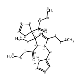 CCCC1=NC(CC)(C2(C(=O)OCC)CC=CC2)C(C(=O)OCC)N1Cc1cccs1